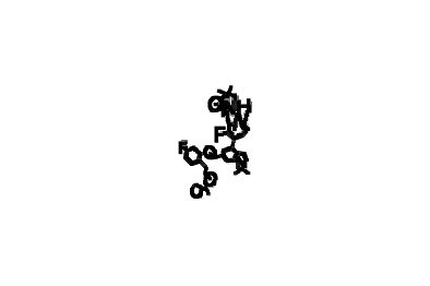 CC(=O)OCCc1ccc(F)cc1OCc1cc(-c2ccnc(CN[S@@+]([O-])C(C)(C)C)c2F)c2ccn(C(C)C)c2c1